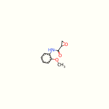 COc1ccccc1NC(=O)C1CO1